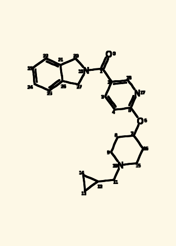 O=C(c1ccc(OC2CCN(CC3CC3)CC2)nc1)N1Cc2ccccc2C1